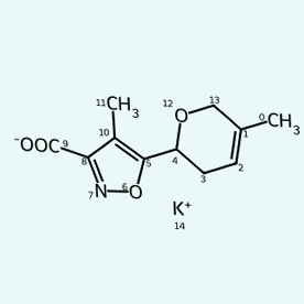 CC1=CCC(c2onc(C(=O)[O-])c2C)OC1.[K+]